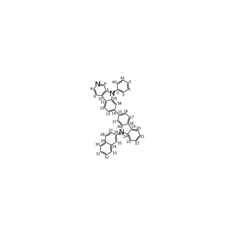 c1ccc(-n2c3cnccc3c3ccc(-c4ccc5c6ccccc6n(-c6ccc7ccccc7c6)c5c4)cc32)cc1